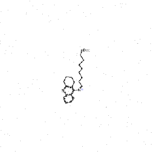 CCCCCCCCCCCCCCCCC/C=N\c1c2c(nc3ccccc13)CCCC2